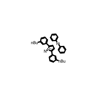 CCCCc1cccc(C2=CC=C(c3cccc(CCCC)c3)[N+]2=[N-])c1.c1cc[c]([Ni][c]2ccccc2)cc1